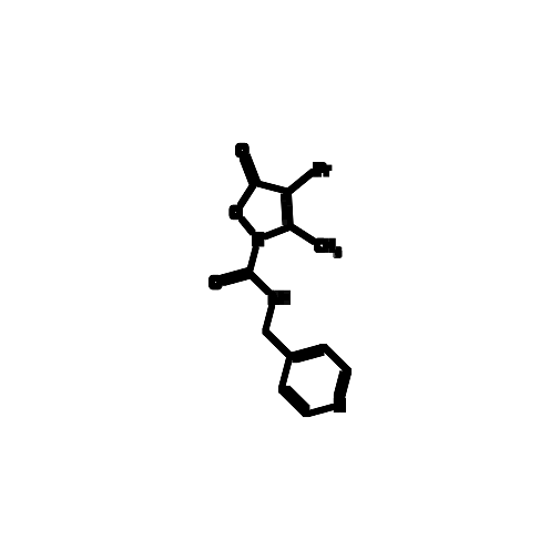 Cc1c(C(C)C)c(=O)on1C(=O)NCc1ccncc1